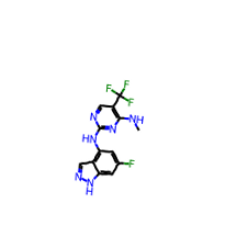 CNc1nc(Nc2cc(F)cc3[nH]ncc23)ncc1C(F)(F)F